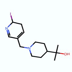 CC(C)(O)C1CCN(CC2=CCC(I)N=C2)CC1